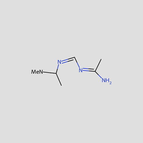 CNC(C)/N=C\N=C(/C)N